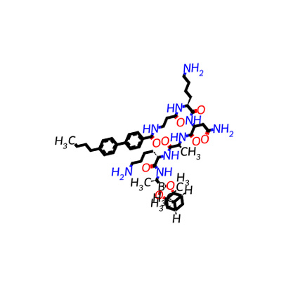 CCCCc1ccc(-c2ccc(C(=O)NCCC(=O)N[C@@H](CCCCN)C(=O)NC(CC(N)=O)C(=O)N[C@@H](C)C(=O)N[C@@H](CCCCN)C(=O)N[C@@H](C)B3OC4C[C@@H]5C[C@@H](C5(C)C)[C@]4(C)O3)cc2)cc1